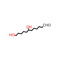 O=CCCCCCC(O)CCCCCO